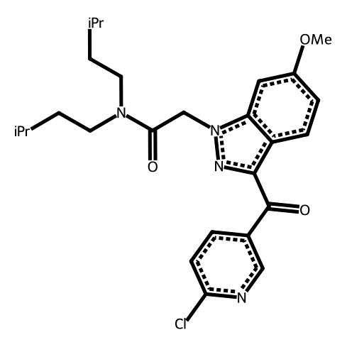 COc1ccc2c(C(=O)c3ccc(Cl)nc3)nn(CC(=O)N(CCC(C)C)CCC(C)C)c2c1